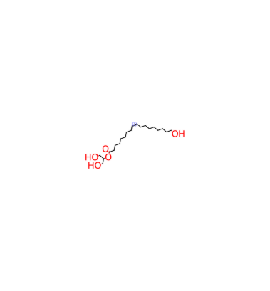 O=C(CCCCCCC/C=C\CCCCCCCCO)OC(CO)CO